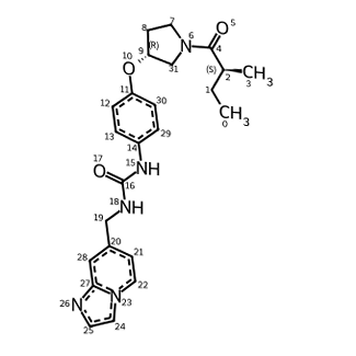 CC[C@H](C)C(=O)N1CC[C@@H](Oc2ccc(NC(=O)NCc3ccn4ccnc4c3)cc2)C1